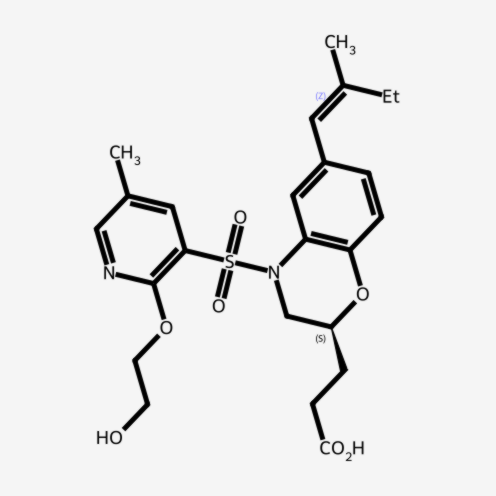 CC/C(C)=C\c1ccc2c(c1)N(S(=O)(=O)c1cc(C)cnc1OCCO)C[C@H](CCC(=O)O)O2